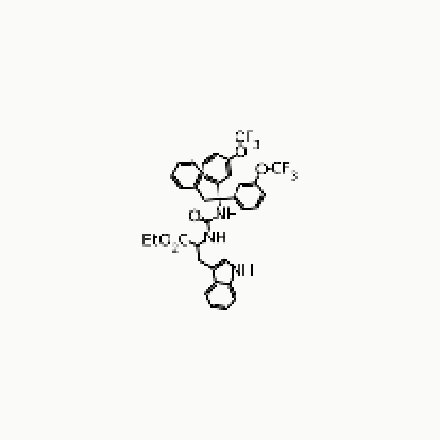 CCOC(=O)C(Cc1c[nH]c2ccccc12)NC(=O)NC(Cc1ccccc1)(c1cccc(OC(F)(F)F)c1)c1cccc(OC(F)(F)F)c1